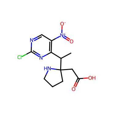 CC(c1nc(Cl)ncc1[N+](=O)[O-])C1(CC(=O)O)CCCN1